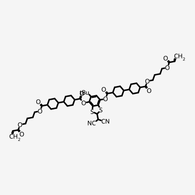 C=CC(=O)OCCCCOC(=O)C1CCC(C2CCC(C(=O)Oc3cc(C(C)(C)C)c(OC(=O)C4CCC(C5CCC(C(=O)OCCCCOC(=O)C=C)CC5)CC4)c4c3SC(C(C#N)C#N)S4)CC2)CC1